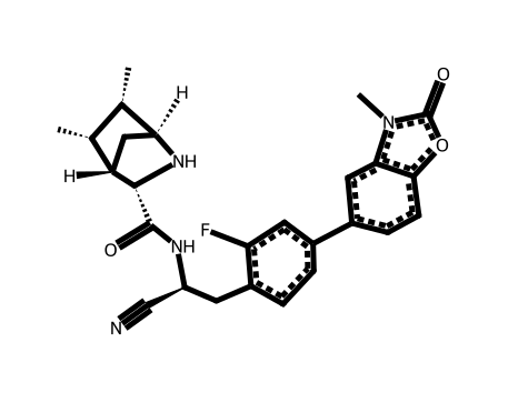 C[C@@H]1[C@H](C)[C@@H]2C[C@@H]1[C@@H](C(=O)N[C@H](C#N)Cc1ccc(-c3ccc4oc(=O)n(C)c4c3)cc1F)N2